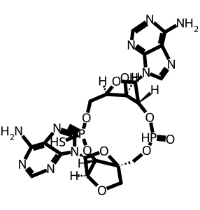 C=P1(S)OC[C@H]2O[C@@H](n3cnc4c(N)ncnc43)[C@H](O[PH](=O)OC[C@@]34CO[C@@H]([C@H](n5cnc6c(N)ncnc65)O3)[C@@H]4O1)[C@@H]2O